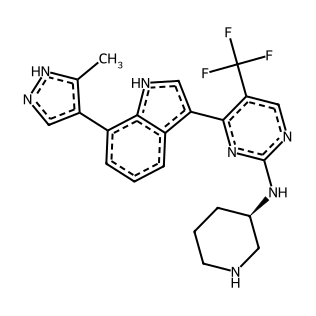 Cc1[nH]ncc1-c1cccc2c(-c3nc(N[C@@H]4CCCNC4)ncc3C(F)(F)F)c[nH]c12